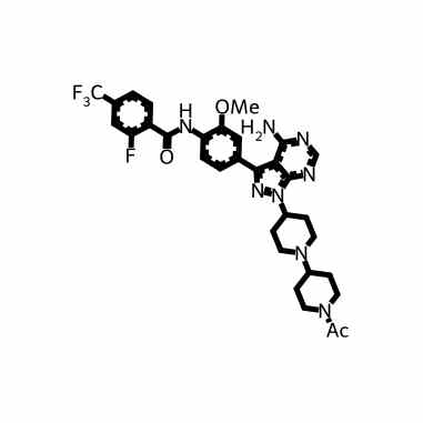 COc1cc(-c2nn(C3CCN(C4CCN(C(C)=O)CC4)CC3)c3ncnc(N)c23)ccc1NC(=O)c1ccc(C(F)(F)F)cc1F